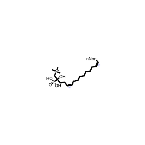 CCCCCCCCC/C=C\CCCCCCC/C=C\CCC(O)(C[N+](C)(C)C)P(=O)(O)O